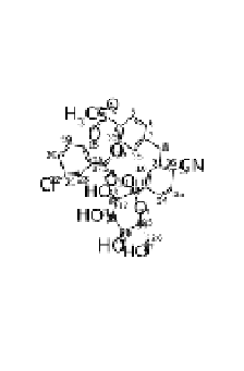 CS(=O)(=O)c1ccc(Cc2cc([C@]3(OOC(=O)c4cccc(Cl)c4)O[C@H](CO)[C@@H](O)[C@H](O)[C@H]3O)ccc2C#N)cc1